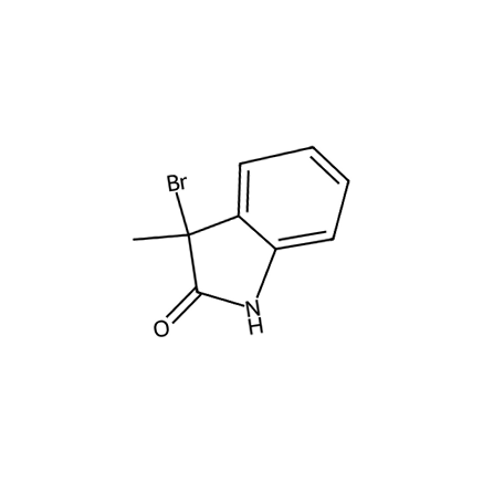 CC1(Br)C(=O)Nc2ccccc21